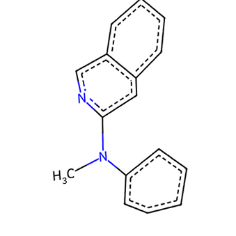 CN(c1ccccc1)c1cc2ccccc2cn1